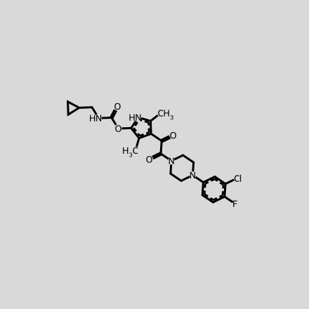 Cc1[nH]c(OC(=O)NCC2CC2)c(C)c1C(=O)C(=O)N1CCN(c2ccc(F)c(Cl)c2)CC1